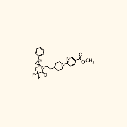 COC(=O)c1ccc(N2CCC(CCN(C(=O)C(F)(F)F)[C@@H]3C[C@H]3c3ccccc3)CC2)nc1